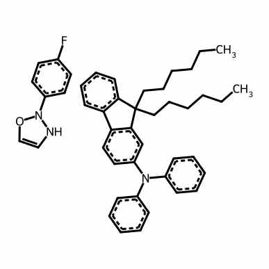 CCCCCCC1(CCCCCC)c2ccccc2-c2ccc(N(c3ccccc3)c3ccccc3)cc21.Fc1ccc(N2NC=CO2)cc1